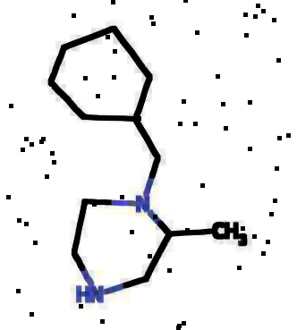 CC1CNCCN1CC1CCCCC1